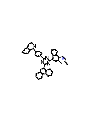 C=C/C=C\c1c(C)cc(-c2nc(-c3ccc(-c4nccc5ccccc45)cc3)nc(-c3cc4ccccc4c4ccccc34)n2)c2ccccc12